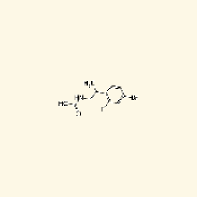 CC(CNC(=O)O)c1ccc(Br)cc1F